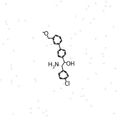 COCc1cccc(-c2ccc([C@@H](O)[C@@H](N)c3ccc(Cl)cc3)cc2)c1